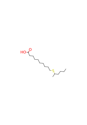 CCCCC(C)SCCCCCCCCCC(=O)O